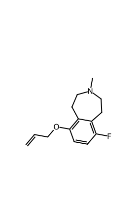 C=CCOc1ccc(F)c2c1CCN(C)CC2